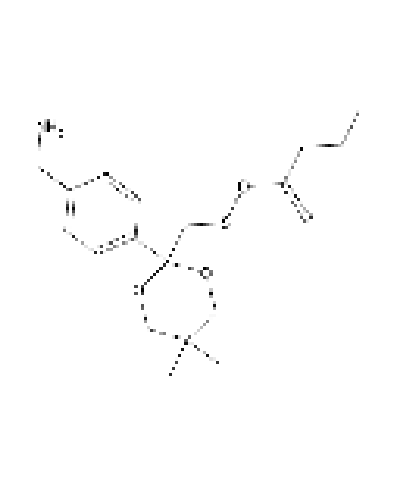 CCCC(=O)OSCC1(c2ccc(CN)cc2)OCC(C)(C)CO1